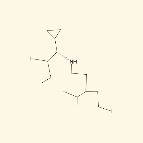 CCC(I)[C@@H](NCCC(CCI)C(C)C)C1CC1